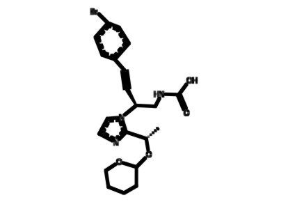 C[C@H](OC1CCCCO1)c1nccn1[C@@H](C#Cc1ccc(Br)cc1)CNC(=O)O